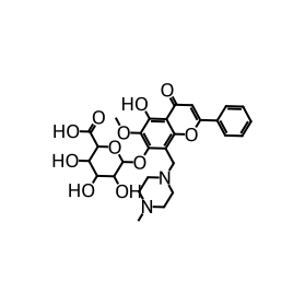 COc1c(OC2OC(C(=O)O)C(O)C(O)C2O)c(CN2CCN(C)CC2)c2oc(-c3ccccc3)cc(=O)c2c1O